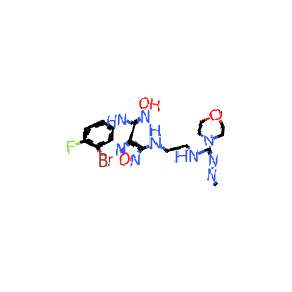 C=N/N=C(\NCCNc1nonc1/C(=N/O)Nc1ccc(F)c(Br)c1)N1CCOCC1